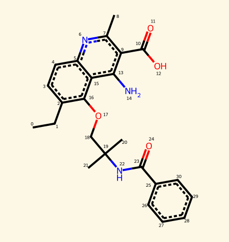 CCc1ccc2nc(C)c(C(=O)O)c(N)c2c1OCC(C)(C)NC(=O)c1ccccc1